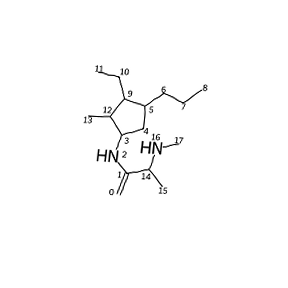 C=C(NC1CC(CCC)C(CC)C1C)C(C)NC